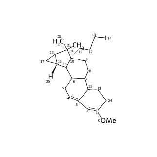 COC1=CC2=CCC3C(CC[C@@]4(CCCI)C3[C@@H]3CC3C4(C)C)C2CC1